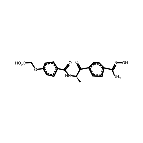 C[C@@H](NC(=O)c1ccc(OCC(=O)O)cc1)C(=O)c1ccc(C(N)=NO)cc1